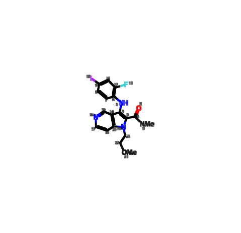 CNC(=O)c1c(Nc2ccc(I)cc2F)c2cnccc2n1CCOC